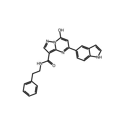 O=C(NCCc1ccccc1)c1cnn2c(O)cc(-c3ccc4[nH]ccc4c3)nc12